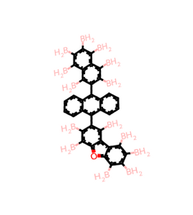 Bc1c(B)c(B)c2c(oc3c(B)c(B)c(-c4c5ccccc5c(-c5c(B)c(B)c6c(B)c(B)c(B)c(B)c6c5B)c5ccccc45)c(B)c32)c1B